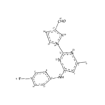 Cc1cc(Nc2ccc(F)cc2)nc(-n2ccc(C=O)n2)n1